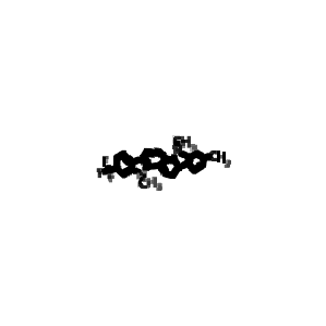 Cc1ccc2c3ccc4c(ccc5c6ccc(C(F)(F)F)cc6n(C)c54)c3n(C)c2c1